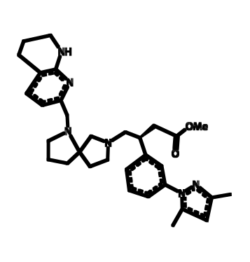 COC(=O)C[C@H](CN1CCC2(CCCN2Cc2ccc3c(n2)NCCC3)C1)c1cccc(-n2nc(C)cc2C)c1